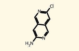 Nc1cc2cnc(Cl)cc2cn1